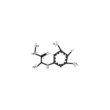 CCCC(Nc1cc(C)c(F)c(C)c1)C(=O)NO